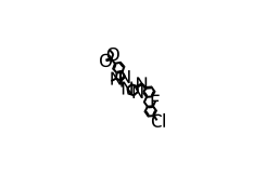 COC(=O)c1ccc2nc(CN3CCn4c(nc5cccc(Cc6ccc(Cl)cc6F)c54)C3)n(C)c2c1